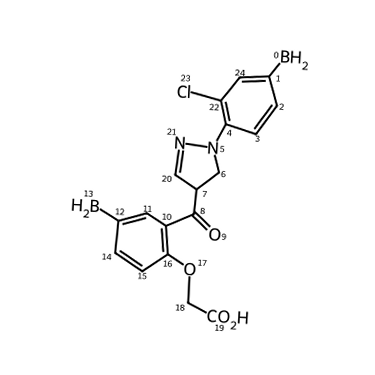 Bc1ccc(N2CC(C(=O)c3cc(B)ccc3OCC(=O)O)C=N2)c(Cl)c1